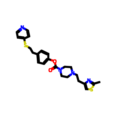 Cc1nc(CCN2CCN(C(=O)Oc3ccc(CCSc4ccncc4)cc3)CC2)cs1